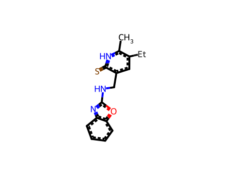 CCc1cc(CNc2nc3ccccc3o2)c(=S)[nH]c1C